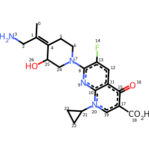 CC(CN)=C1CCN(c2nc3c(cc2F)c(=O)c(C(=O)O)cn3C2CC2)CC1O